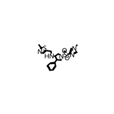 Cc1ncc(CNC2CN(S(=O)(=O)c3cn(C)cn3)CC2c2ccccc2)s1